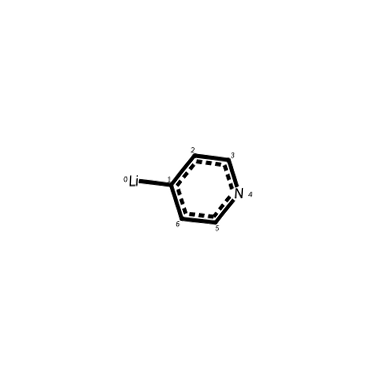 [Li][c]1ccncc1